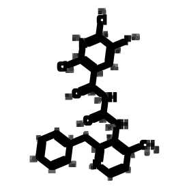 Cc1ccnc(Cc2ccccc2)c1NC(=O)NC(=O)c1cc(F)c(Cl)nc1Cl